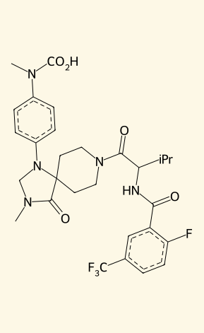 CC(C)C(NC(=O)c1cc(C(F)(F)F)ccc1F)C(=O)N1CCC2(CC1)C(=O)N(C)CN2c1ccc(N(C)C(=O)O)cc1